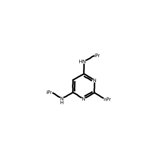 CCCc1nc(NC(C)C)cc(NC(C)C)n1